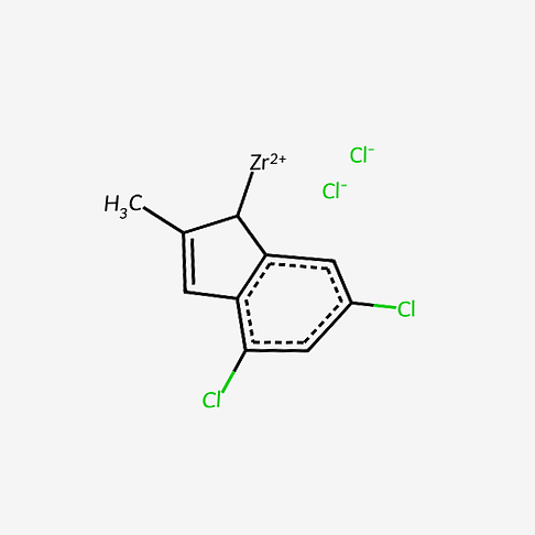 CC1=Cc2c(Cl)cc(Cl)cc2[CH]1[Zr+2].[Cl-].[Cl-]